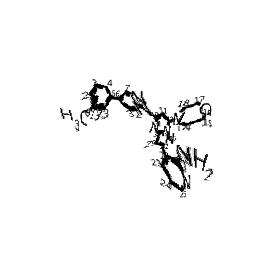 Cc1cccc(-c2cnn(-c3cc(N4CCOCC4)n4nc(-c5cccnc5N)cc4n3)c2)c1